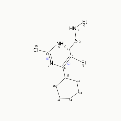 CCNSC/C(CC)=C(\N=C(/N)Cl)C1CCCCC1